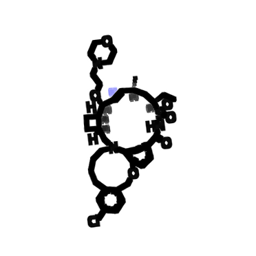 CC[C@@H]1C[C@@H](C)/C=C/[C@H](OCCN2CCOCC2)[C@@H]2CC[C@H]2CN2CCCCc3cc(Cl)ccc3COc3ccc(cc32)C(=O)NS1(=O)=O